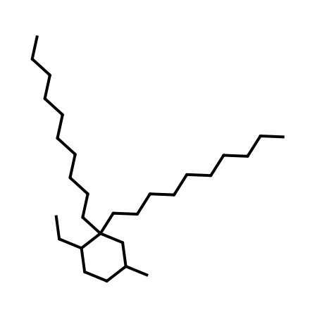 CCCCCCCCCCC1(CCCCCCCCCC)CC(C)CCC1CC